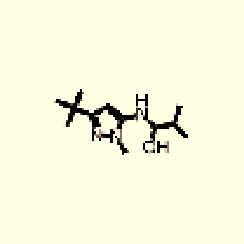 CC(C)C(O)Nc1cc(C(C)(C)C)nn1C